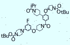 CC(C)C(=O)N1CCC(c2cc(C(=O)N3CCC(Oc4cc(F)cc(N5CCN(C(=O)OC(C)(C)C)CC5)c4)CC3)ccc2O[C@H]2CCN(C(=O)OC(C)(C)C)C2)CC1